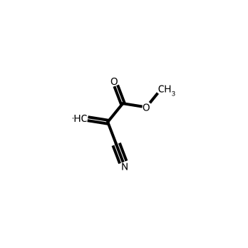 [CH]=C(C#N)C(=O)OC